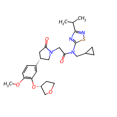 COc1ccc([C@@H]2CC(=O)N(CC(=O)N(CC3CC3)c3nc(C(C)C)ns3)C2)cc1O[C@@H]1CCOC1